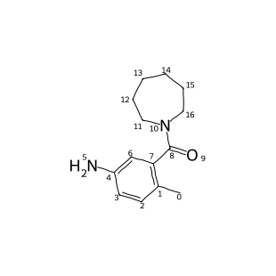 Cc1ccc(N)cc1C(=O)N1CCCCCC1